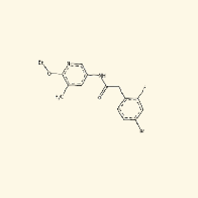 CCOc1ncc(NC(=O)Cc2ccc(Br)cc2F)cc1C(F)(F)F